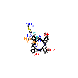 NCCSSCCNc1c(F)c(F)c(-c2c3nc(c(-c4cccc(O)c4)c4ccc([nH]4)c(-c4cccc(O)c4)c4nc(c(-c5cccc(O)c5)c5ccc2[nH]5)C=C4)C=C3)c(P)c1P